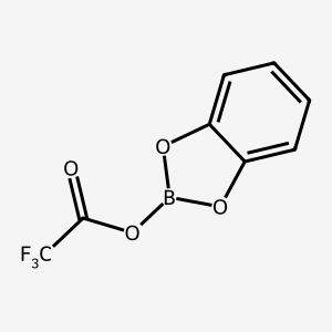 O=C(OB1Oc2ccccc2O1)C(F)(F)F